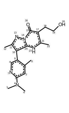 Cc1cc(N(C)C)ncc1-c1c(C)nn2c(=O)c(CCO)c(C)[nH]c12